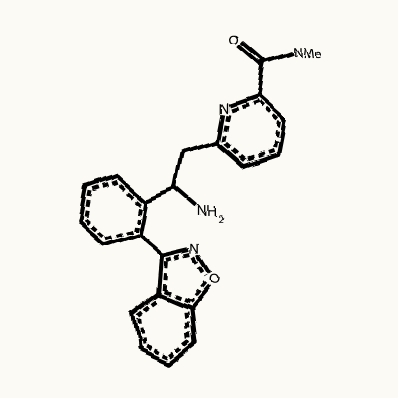 CNC(=O)c1cccc(CC(N)c2ccccc2-c2noc3ccccc23)n1